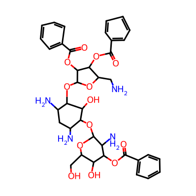 NCC1OC(OC2C(N)CC(N)C(OC3OC(CO)C(O)C(OC(=O)c4ccccc4)C3N)C2O)C(OC(=O)c2ccccc2)C1OC(=O)c1ccccc1